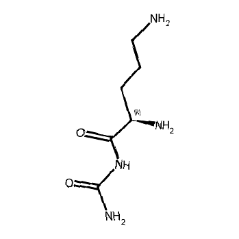 NCCC[C@@H](N)C(=O)NC(N)=O